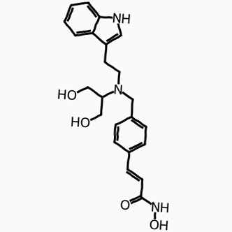 O=C(/C=C/c1ccc(CN(CCc2c[nH]c3ccccc23)C(CO)CO)cc1)NO